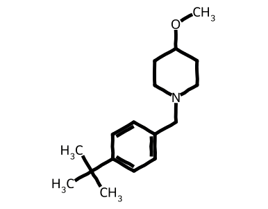 COC1CCN(Cc2ccc(C(C)(C)C)cc2)CC1